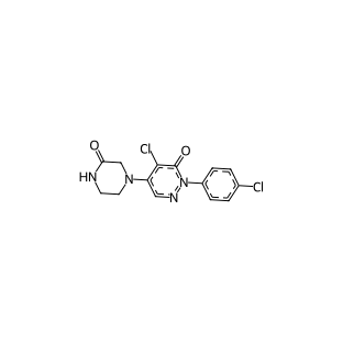 O=C1CN(c2cnn(-c3ccc(Cl)cc3)c(=O)c2Cl)CCN1